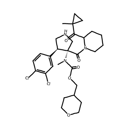 CN(C(=O)OCC1CCOCC1)[C@@]1(C(=O)N2CCCCC2C(=O)C2(C)CC2)CNC[C@@H]1c1ccc(Cl)c(Cl)c1